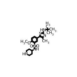 COc1ccc(-c2sc(NC(C)(C)C)nc2C)cc1S(=O)(=O)NC1CCNCC1